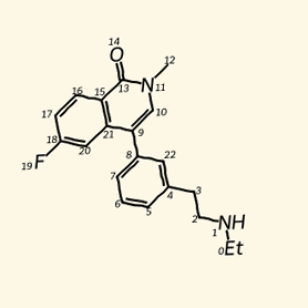 CCNCCc1cccc(-c2cn(C)c(=O)c3ccc(F)cc23)c1